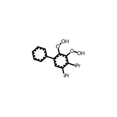 CC(C)c1cc(-c2ccccc2)c(OO)c(OO)c1C(C)C